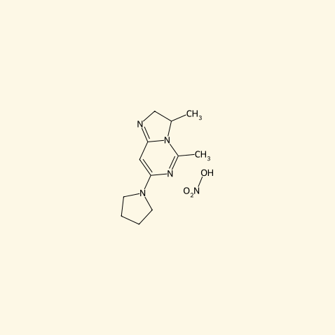 CC1=NC(N2CCCC2)=CC2=NCC(C)N12.O=[N+]([O-])O